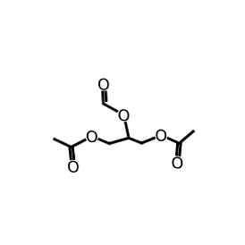 CC(=O)OCC(COC(C)=O)OC=O